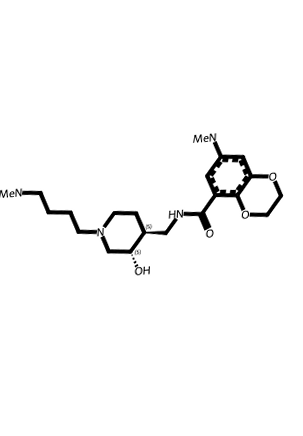 CNCCCCN1CC[C@@H](CNC(=O)c2cc(NC)cc3c2OCCO3)[C@H](O)C1